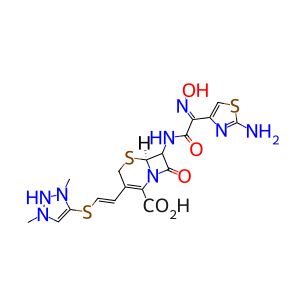 CN1C=C(SC=CC2=C(C(=O)O)N3C(=O)C(NC(=O)C(=NO)c4csc(N)n4)[C@@H]3SC2)N(C)N1